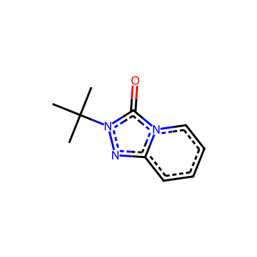 CC(C)(C)n1nc2ccccn2c1=O